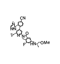 COC[C@@H](C)NCc1cc(F)c2c(c1)C(=O)N(c1cc(-c3ccc(C#N)cc3-c3nncn3C)cc(C3CC3)n1)C2